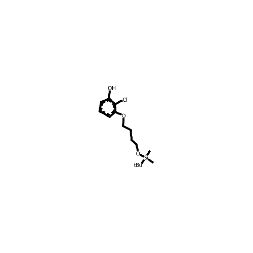 CC(C)(C)[Si](C)(C)OCCCCOc1cccc(O)c1Cl